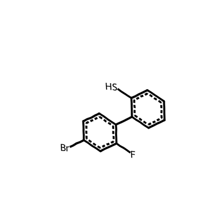 Fc1cc(Br)ccc1-c1ccccc1S